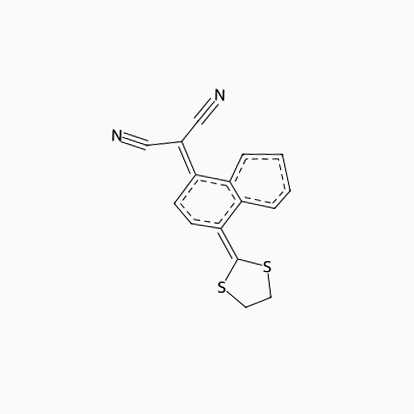 N#CC(C#N)=c1ccc(=C2SCCS2)c2ccccc12